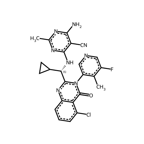 Cc1nc(N)c(C#N)c(N[C@H](c2nc3cccc(Cl)c3c(=O)n2-c2cncc(F)c2C)C2CC2)n1